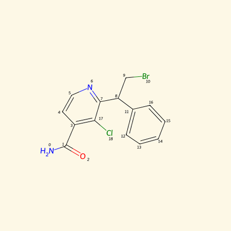 NC(=O)c1ccnc(C(CBr)c2ccccc2)c1Cl